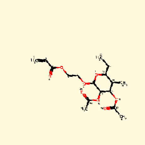 C=CC(=O)OCCOC1OC(CC)C(C)C(OC(C)=O)C1OC(C)=O